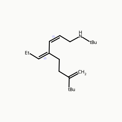 C=C(CCC(/C=C\CNC(C)(C)C)=C/CC)C(C)(C)C